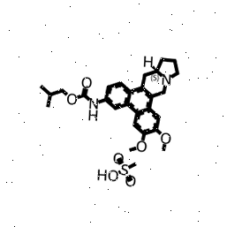 COc1cc2c3c(c4ccc(NC(=O)OCC(C)C)cc4c2cc1OC)C[C@@H]1CCCN1C3.CS(=O)(=O)O